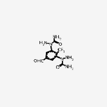 NC(=O)N(N)c1cc([C]=O)cc(N(N)C(N)=O)c1C(F)(F)F